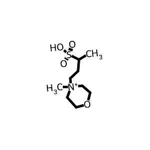 CC(CC[N+]1(C)CCOCC1)S(=O)(=O)O